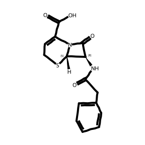 O=C(Cc1ccccc1)N[C@@H]1C(=O)N2C(C(=O)O)=CCS[C@@H]12